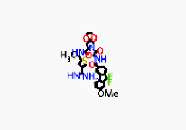 COc1ccc2c(c1)C(F)(F)c1ccc(C(=O)NCC(=O)N3CC4(CC3C(=O)N[C@H](C)c3cc(C(=N)N)cs3)OCCO4)cc1-2